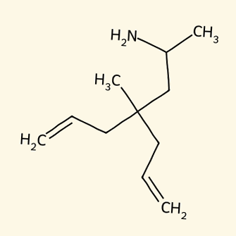 C=CCC(C)(CC=C)CC(C)N